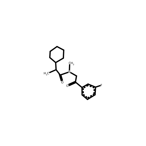 CC(C(=O)N(C)CC(=O)c1cccc(F)c1)C1CCCCC1